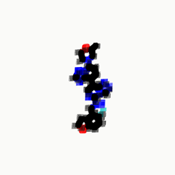 CC1CN(c2ccc(-c3cnc(NCc4c(F)ccc5c4CCO5)n4cnnc34)c3ncnn23)CCO1